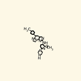 COc1nc(N2CCNCC2)ccc1Nc1ncc2c(n1)N1CCN=C1C(c1ccc(C)cc1)=C2